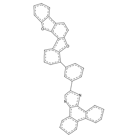 c1cc(-c2cnc3c4ccccc4c4ccccc4c3n2)cc(-c2cccc3c2oc2ccc4c5ccccc5oc4c23)c1